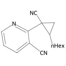 CCCCCCC1CC1(C#N)c1ncccc1C#N